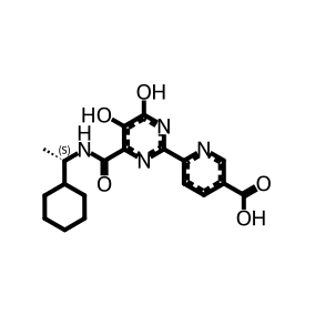 C[C@H](NC(=O)c1nc(-c2ccc(C(=O)O)cn2)nc(O)c1O)C1CCCCC1